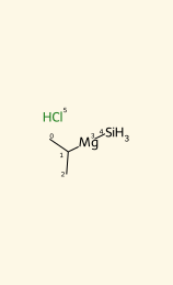 C[CH](C)[Mg][SiH3].Cl